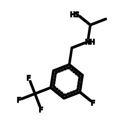 CC(S)NCc1cc(F)cc(C(F)(F)F)c1